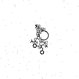 Cc1sc(-c2cccc3c2nc(O[C@@H]2C[C@H]4C(=O)N[C@]5(C(=O)NS(=O)(=O)C6(C)CC6)C[C@H]5/C=C\CCCCC[C@H](NC(=O)OC(C)(C)C)C(=O)N4C2)n3C(C)C)nc1Cc1ccccc1